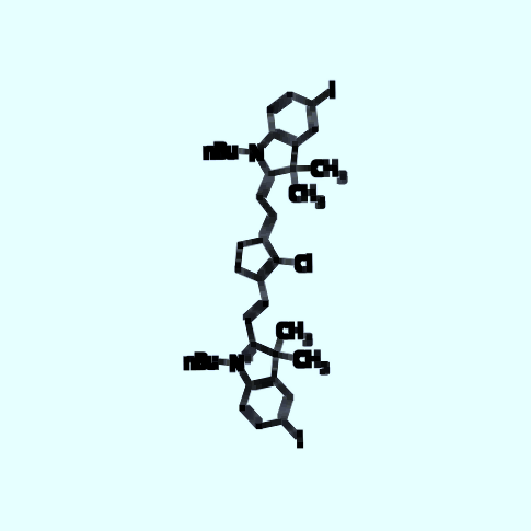 CCCCN1/C(=C/C=C2\CCC(/C=C/C3=[N+](CCCC)c4ccc(I)cc4C3(C)C)=C2Cl)C(C)(C)c2cc(I)ccc21